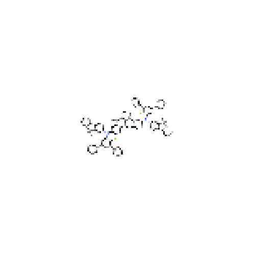 CC1(C)c2ccccc2-c2ccc(N(c3ccc4c(c3)[Si](C)(C)c3cccc5c3c-4cc3ccc(N(c4ccc6c(c4)C(C)(C)c4ccccc4-6)c4cc(-c6ccccc6)cc(-c6ccccc6)c4F)cc35)c3cc(-c4ccccc4)cc(-c4ccccc4)c3F)cc21